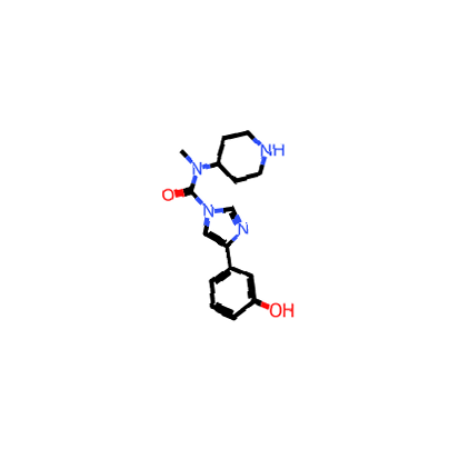 CN(C(=O)n1cnc(-c2cccc(O)c2)c1)C1CCNCC1